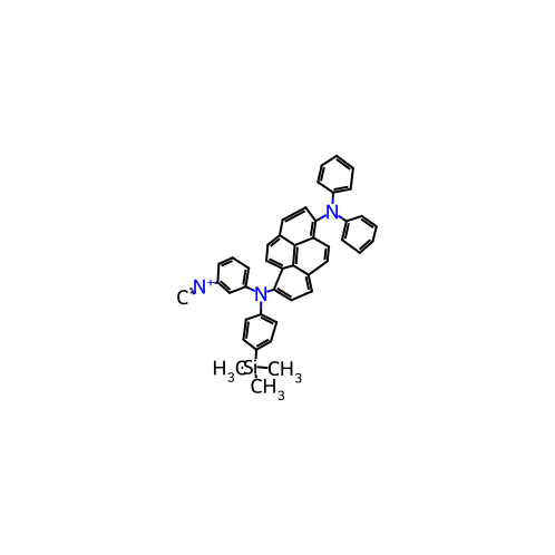 [C-]#[N+]c1cccc(N(c2ccc([Si](C)(C)C)cc2)c2ccc3ccc4c(N(c5ccccc5)c5ccccc5)ccc5ccc2c3c54)c1